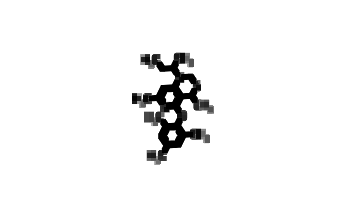 CCC(C)N1CSC(C)c2c1cc(C)nc2Oc1c(C)cc(C)cc1C